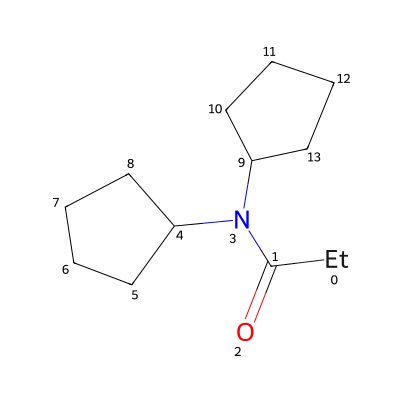 [CH2]CC(=O)N(C1CCCC1)C1CCCC1